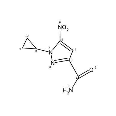 NC(=O)c1cc([N+](=O)[O-])n(C2CC2)n1